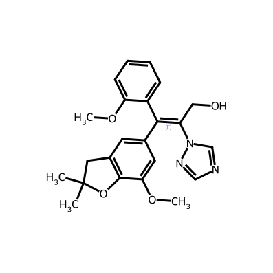 COc1ccccc1/C(=C(\CO)n1cncn1)c1cc2c(c(OC)c1)OC(C)(C)C2